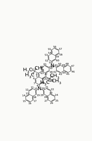 CC(C)(C)c1c2ccc(N(c3ccc4ccccc4c3)c3ccc4ccccc4c3)cc2c(C(C)(C)C)c2cc(N(c3ccc4ccccc4c3)c3ccc4ccccc4c3)ccc12